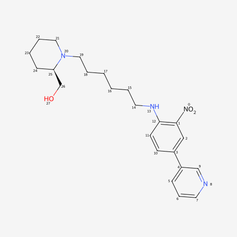 O=[N+]([O-])c1cc(-c2cccnc2)ccc1NCCCCCCN1CCCC[C@@H]1CO